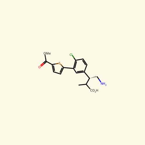 COC(=O)c1ccc(-c2cc([C@H](CN)C(C)C(=O)O)ccc2Cl)s1